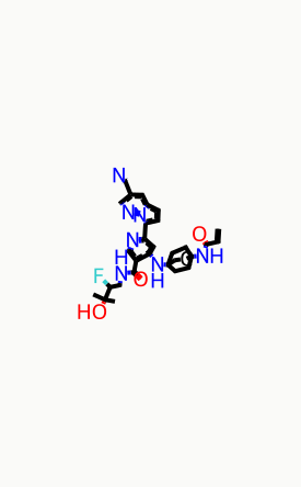 C=CC(=O)NC12CCC(Nc3cc(-c4ccc5cc(C#N)cnn45)ncc3C(=O)NCC(F)C(C)(C)O)(CC1)CC2